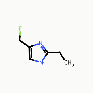 CCC1=NC(CF)=[C][N]1